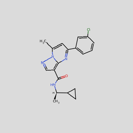 Cc1cc(-c2cccc(Cl)c2)nc2c(C(=O)N[C@H](C)C3CC3)cnn12